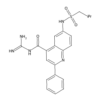 CC(C)CS(=O)(=O)Nc1ccc2nc(-c3ccccc3)cc(C(=O)NC(=N)N)c2c1